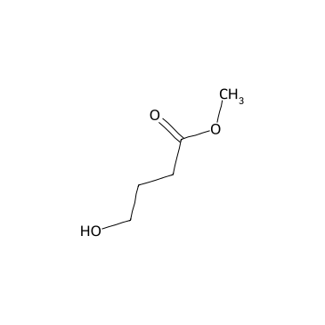 COC(=O)CCCO